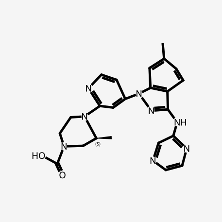 Cc1ccc2c(Nc3cnccn3)nn(-c3ccnc(N4CCN(C(=O)O)C[C@@H]4C)c3)c2c1